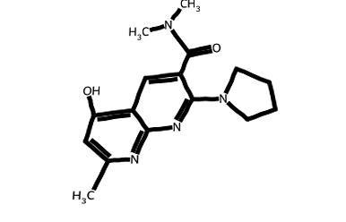 Cc1cc(O)c2cc(C(=O)N(C)C)c(N3CCCC3)nc2n1